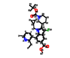 CCc1nc(C)ccc1-c1cc(C(=O)OC)cc2c(F)c([C@@H]3CCCN(C(=O)OC(C)(C)C)C3)n(CC3CC3)c12